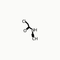 C#CNC(=O)CCl